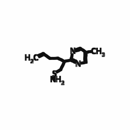 C=CCCC(CSN)c1ncc(C)cn1